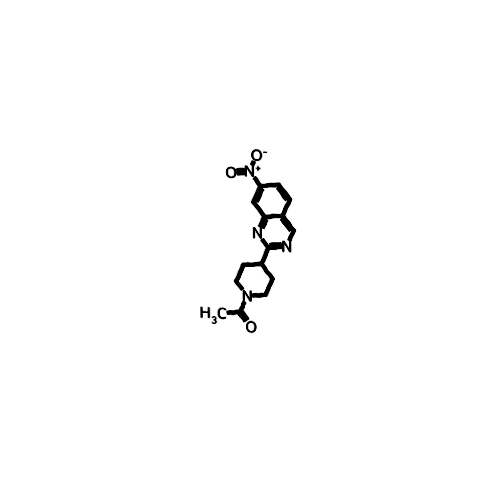 CC(=O)N1CCC(c2ncc3ccc([N+](=O)[O-])cc3n2)CC1